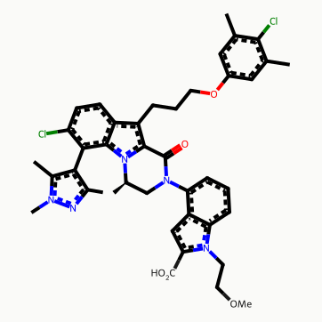 COCCn1c(C(=O)O)cc2c(N3C[C@@H](C)n4c(c(CCCOc5cc(C)c(Cl)c(C)c5)c5ccc(Cl)c(-c6c(C)nn(C)c6C)c54)C3=O)cccc21